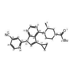 C[C@H]1CN(C(=O)C(C)(C)C)CCN1c1ncnc2c1c(C1CC1)cn2-c1cc(C#N)ccn1